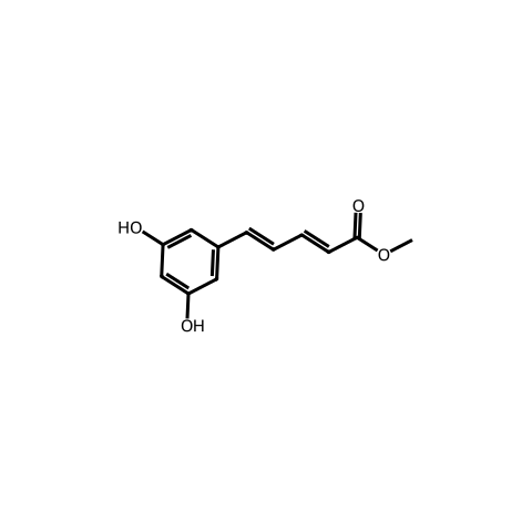 COC(=O)/C=C/C=C/c1cc(O)cc(O)c1